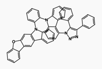 c1ccc(-c2nnn(-c3cccc4c3c3ccccc3n4-c3ccccc3-n3c4ccccc4c4cc5c(cc43)oc3ccccc35)c2-c2ccccc2)cc1